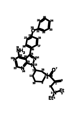 C=C(CN(CC)CC)C(=O)N1CCCC(n2nc(-c3ccc(Oc4ccccc4)cc3)c3c(N)ncnc32)C1